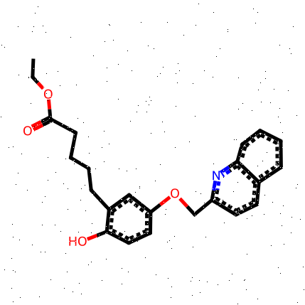 CCOC(=O)CCCCc1cc(OCc2ccc3ccccc3n2)ccc1O